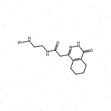 CC(C)NCCNC(=O)Cc1n[nH]c(=O)c2c1CCCC2